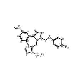 CCOC(=O)c1ncn2c1Cn1c(COc3ccc(F)cc3)nnc1-c1cc(OC)ccc1-2